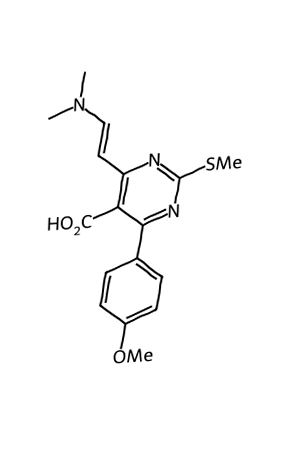 COc1ccc(-c2nc(SC)nc(C=CN(C)C)c2C(=O)O)cc1